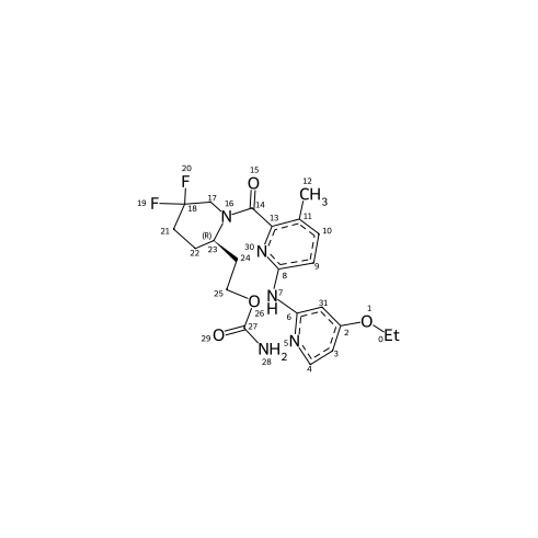 CCOc1ccnc(Nc2ccc(C)c(C(=O)N3CC(F)(F)CC[C@@H]3CCOC(N)=O)n2)c1